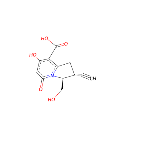 C#C[C@H]1Cc2c(C(=O)O)c(O)cc(=O)n2[C@@H]1CO